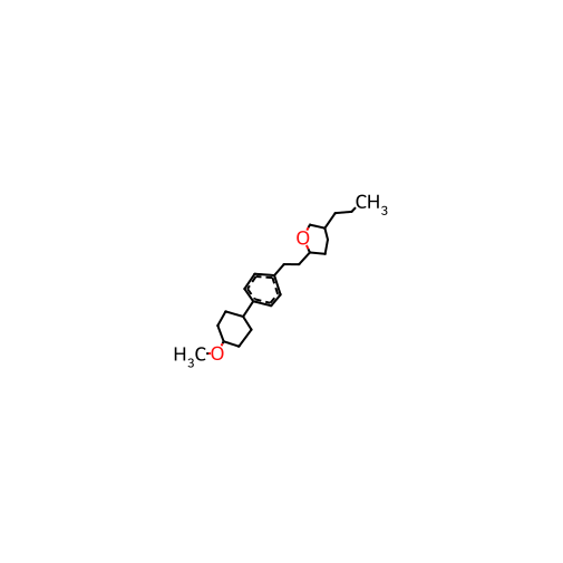 CCCC1CCC(CCc2ccc(C3CCC(OC)CC3)cc2)OC1